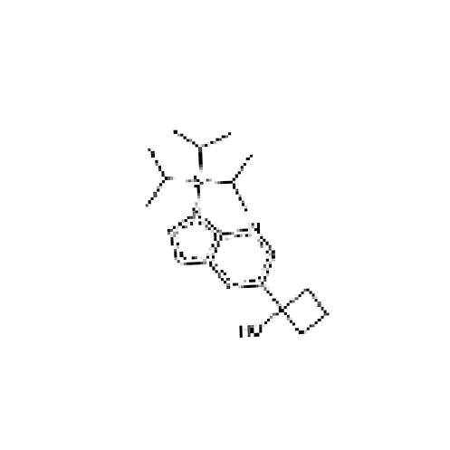 CC(C)[Si](C(C)C)(C(C)C)n1ccc2cc(C3(O)CCC3)cnc21